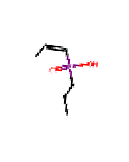 C/C=C\P(=O)(O)CCC